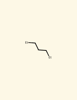 [CH2]CC[CH]CCC